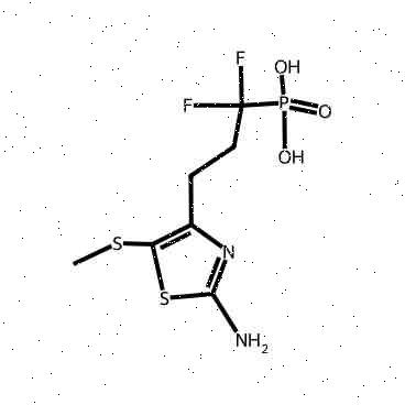 CSc1sc(N)nc1CCC(F)(F)P(=O)(O)O